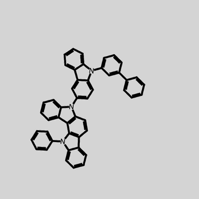 c1ccc(-c2cccc(-n3c4ccccc4c4cc(-n5c6ccccc6c6c5ccc5c7ccccc7n(-c7ccccc7)c56)ccc43)c2)cc1